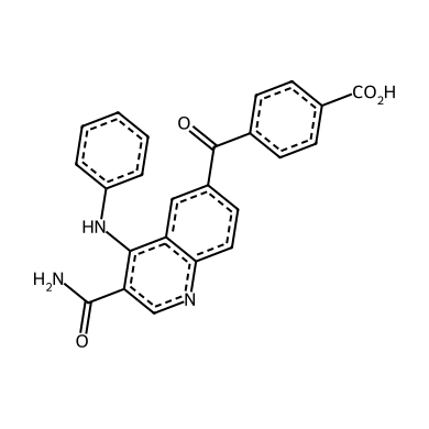 NC(=O)c1cnc2ccc(C(=O)c3ccc(C(=O)O)cc3)cc2c1Nc1ccccc1